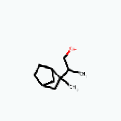 CC(CO)C1(C)CC2CCC1C2